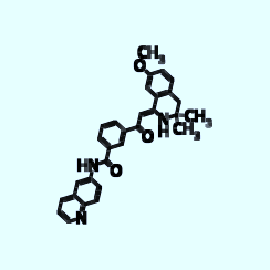 COc1ccc2c(c1)C(=CC(=O)c1cccc(C(=O)Nc3ccc4ncccc4c3)c1)NC(C)(C)C2